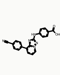 N#Cc1ccc(-c2cccn3nc(Nc4ccc(C(=O)O)cc4)nc23)cc1